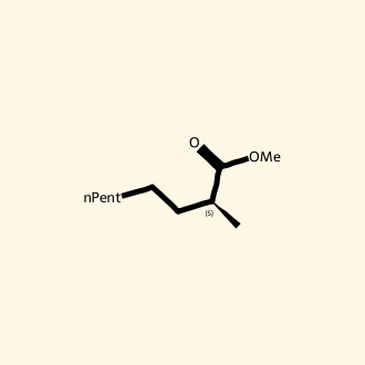 CCCCCCC[C@H](C)C(=O)OC